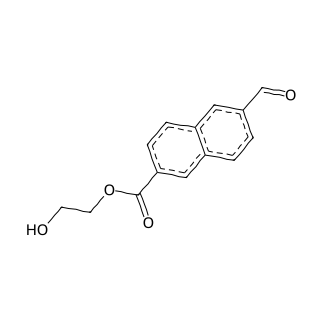 O=Cc1ccc2cc(C(=O)OCCO)ccc2c1